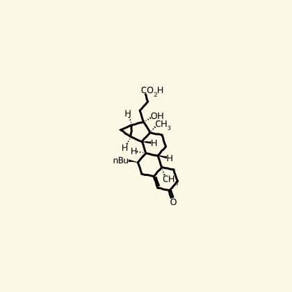 CCCC[C@@H]1CC2=CC(=O)CC[C@]2(C)[C@H]2CC[C@@]3(C)[C@@H]([C@H]4C[C@H]4[C@@]3(O)CCC(=O)O)[C@H]12